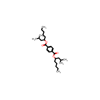 CCCCCC(CC(C)C)OC(=O)c1ccc(C(=O)OC(CCCCC)CC(C)C)cc1